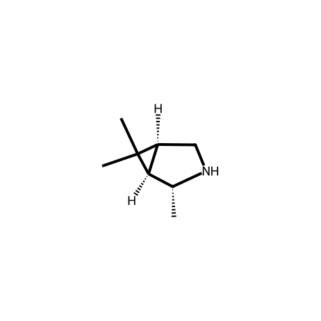 C[C@H]1NC[C@H]2[C@@H]1C2(C)C